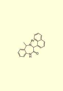 CC(C)N1C(C)c2ccccc2NC(=O)C1c1cccc2ccccc12